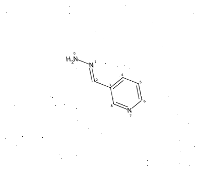 N/N=C/c1cccnc1